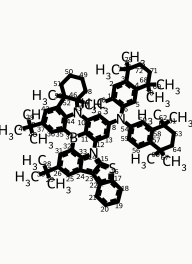 Cc1cc2c(cc1N(c1cc3c4c(c1)-n1c5sc6ccccc6c5c5cc(C(C)(C)C)cc(c51)B4c1cc(C(C)(C)C)cc4c1N3C1(C)CCCCC41C)c1ccc3c(c1)C(C)(C)CCC3(C)C)C(C)(C)CCC2(C)C